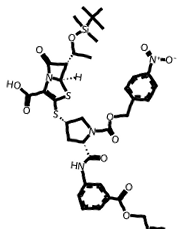 C=CCOC(=O)c1cccc(NC(=O)[C@@H]2C[C@H](SC3=C(C(=O)O)N4C(=O)[C@H](C(C)O[Si](C)(C)C(C)(C)C)[C@H]4S3)CN2C(=O)OCc2ccc([N+](=O)[O-])cc2)c1